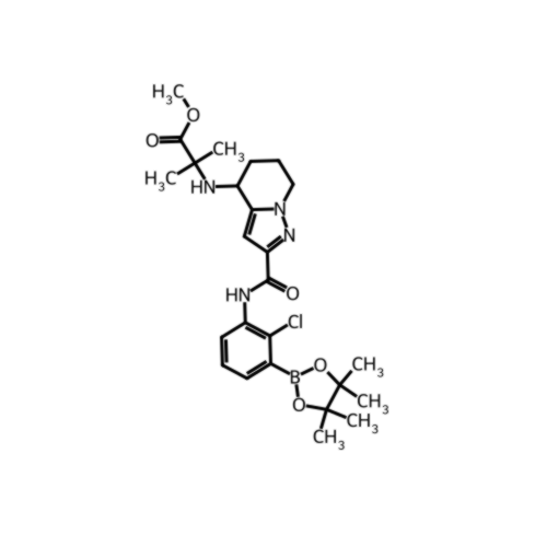 COC(=O)C(C)(C)NC1CCCn2nc(C(=O)Nc3cccc(B4OC(C)(C)C(C)(C)O4)c3Cl)cc21